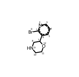 Brc1ncccc1C1CNCCO1